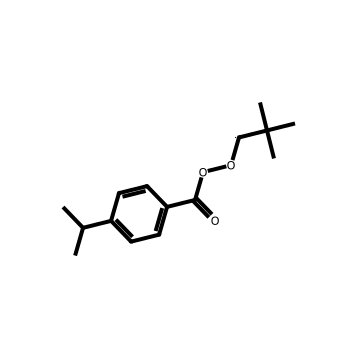 CC(C)c1ccc(C(=O)OO[CH]C(C)(C)C)cc1